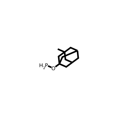 CC12CC3CC(C1)CC(OP)(C3)C2